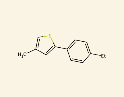 CCc1ccc(-c2cc(C)cs2)cc1